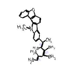 B/C=C(B)/C(B)=C(B)\C(B)=C(/C)c1ccc2c(c1)c1ccc3oc4ccccc4c3c1n2C